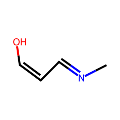 C/N=C/C=C\O